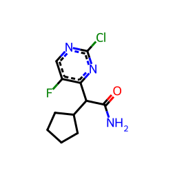 NC(=O)C(c1nc(Cl)ncc1F)C1CCCC1